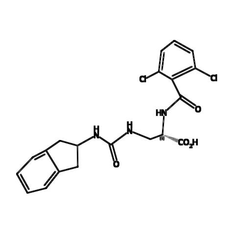 O=C(NC[C@H](NC(=O)c1c(Cl)cccc1Cl)C(=O)O)NC1Cc2ccccc2C1